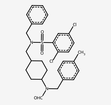 Cc1ccc(CN(C=O)C2CCC(CN(Cc3ccccc3)S(=O)(=O)c3cc(Cl)ccc3Cl)CC2)cc1